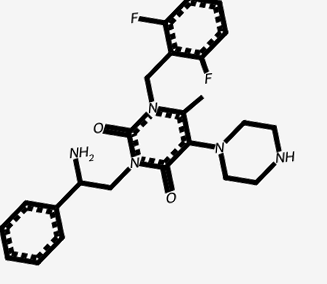 Cc1c(N2CCNCC2)c(=O)n(CC(N)c2ccccc2)c(=O)n1Cc1c(F)cccc1F